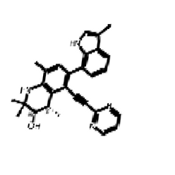 Cc1cc(-c2cccc3c(C)c[nH]c23)c(C#Cc2ncccn2)c2c1NC(C)(C)[C@H](O)[C@H]2C